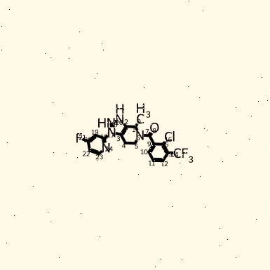 CC1C2=C(CCN1C(=O)c1cccc(C(F)(F)F)c1Cl)N(c1cc(F)ccn1)NN2